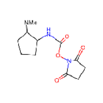 CNC1CCCC1NC(=O)ON1C(=O)CCC1=O